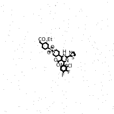 CCOC(=O)CC1CCC(S(=O)(=O)N2CCC(C3=C(C(=O)OC)C(c4ccc(F)c(F)c4Cl)N=C(c4nccs4)N3)CC2)CC1